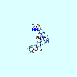 C=CC(=O)Nc1cccc(-n2c(=O)n(-c3ccc(Oc4ccccc4)c(C)c3)c3cnccc32)c1